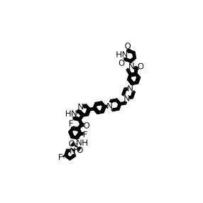 O=C1CC[C@@H](N2Cc3cc(N4CCN(CC5CCN(c6ccc(-c7cnc8[nH]cc(C(=O)c9c(F)ccc(NS(=O)(=O)N%10CC[C@@H](F)C%10)c9F)c8c7)cc6)CC5)CC4)ccc3C2=O)C(=O)N1